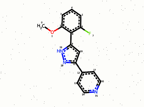 COc1cccc(F)c1-c1cc(-c2ccncc2)n[nH]1